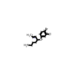 C/C=C/C(CCCN)Oc1ccc(Br)c(Cl)c1